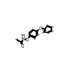 CC(=O)NOc1ccc(Oc2ccccc2)cc1